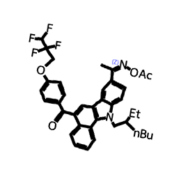 CCCCC(CC)Cn1c2ccc(/C(C)=N\OC(C)=O)cc2c2cc(C(=O)c3ccc(OCC(F)(F)C(F)F)cc3)c3ccccc3c21